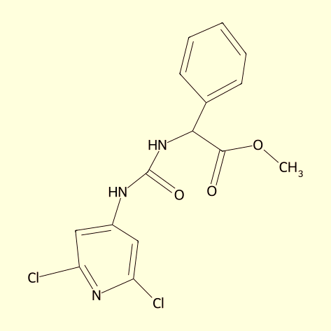 COC(=O)C(NC(=O)Nc1cc(Cl)nc(Cl)c1)c1ccccc1